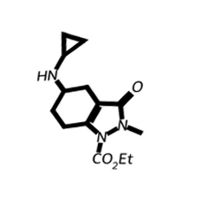 CCOC(=O)n1c2c(c(=O)n1C)CC(NC1CC1)CC2